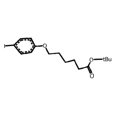 CC(C)(C)OC(=O)CCCCCOc1ccc(I)cc1